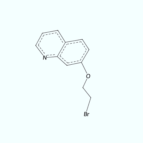 BrCCOc1ccc2cccnc2c1